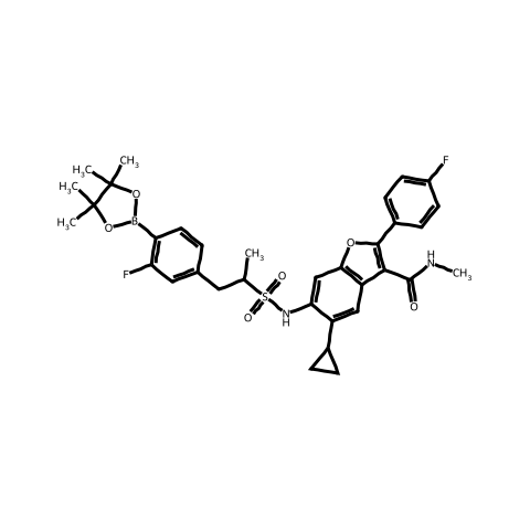 CNC(=O)c1c(-c2ccc(F)cc2)oc2cc(NS(=O)(=O)C(C)Cc3ccc(B4OC(C)(C)C(C)(C)O4)c(F)c3)c(C3CC3)cc12